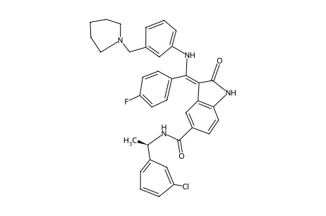 C[C@@H](NC(=O)c1ccc2c(c1)/C(=C(/Nc1cccc(CN3CCCCC3)c1)c1ccc(F)cc1)C(=O)N2)c1cccc(Cl)c1